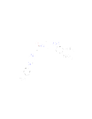 CC(C)(C)c1ccc(N2CCN(CCC(=O)N3CCC(Nc4ccc([N+](=O)[O-])c(C(F)(F)F)c4)CC3)CC2)cc1